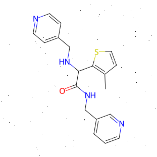 Cc1ccsc1C(NCc1ccncc1)C(=O)NCc1cccnc1